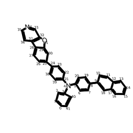 c1ccc(N(c2ccc(-c3ccc4ccccc4c3)cc2)c2ccc(-c3ccc4c(c3)oc3cnccc34)cc2)cc1